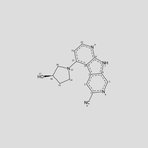 N#Cc1cc2c(cn1)[nH]c1nccc(N3CC[C@@H](O)C3)c12